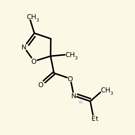 CC/C(C)=N/OC(=O)C1(C)CC(C)=NO1